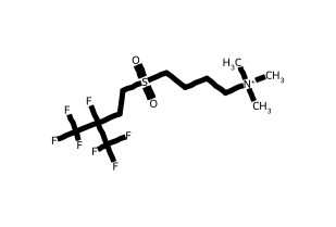 C[N+](C)(C)CCCCS(=O)(=O)CCC(F)(C(F)(F)F)C(F)(F)F